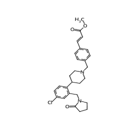 COC(=O)C=Cc1ccc(CN2CCC(c3ccc(Cl)cc3CN3CCCC3=O)CC2)cc1